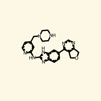 c1cc(CN2CCNCC2)cc(Nc2nc3ccc(-c4ncnc5c4COC5)cc3[nH]2)n1